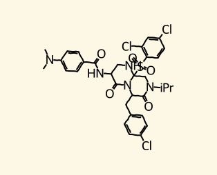 CC(C)N1CC2(S(=O)(=O)c3ccc(Cl)cc3Cl)NCC(NC(=O)c3ccc(N(C)C)cc3)C(=O)N2C(Cc2ccc(Cl)cc2)C1=O